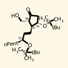 CCCCC[C@@H](C=C[C@@H]1[C@@H](O[Si](C)(C)C(C)(C)C)CC(=O)[C@H]1CO)O[Si](C)(C)C(C)(C)C